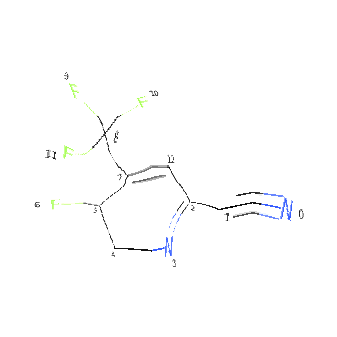 N#CC1=NCC(F)C(C(F)(F)F)=C1